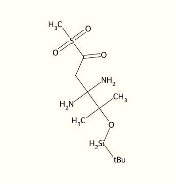 CC(C)(C)[SiH2]OC(C)(C)C(N)(N)CC(=O)S(C)(=O)=O